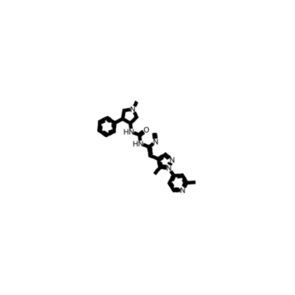 C=N/C(=C\c1cnn(-c2ccnc(C)c2)c1C)NC(=O)NC1CN(C)CC1c1ccccc1